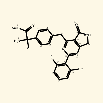 COC(=O)C(C)(N)c1ccc(Cc2nc(-c3c(F)cccc3F)nc3c2C(=O)NC3)cc1